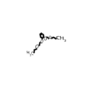 CCCCOCCOc1ccccc1OCCOCCCC